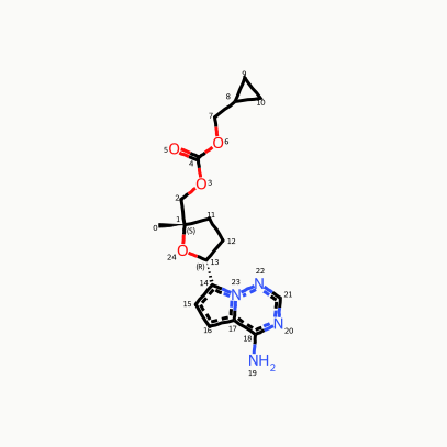 C[C@@]1(COC(=O)OCC2CC2)CC[C@H](c2ccc3c(N)ncnn23)O1